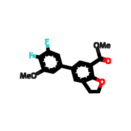 COC(=O)c1cc(-c2cc(F)c(F)c(OC)c2)cc2c1OCC2